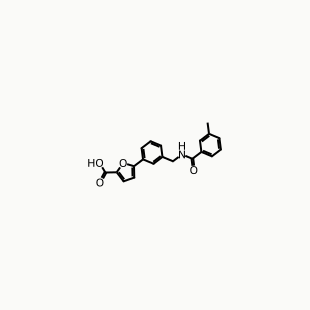 Cc1cccc(C(=O)NCc2cccc(-c3ccc(C(=O)O)o3)c2)c1